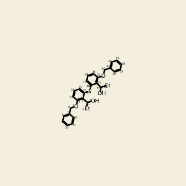 CCC(O)c1c(OCc2ccccc2)cccc1Sc1cccc(OCc2ccccc2)c1C(O)CC